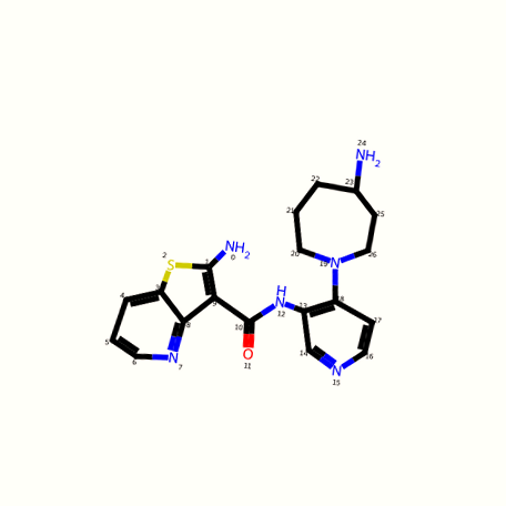 Nc1sc2cccnc2c1C(=O)Nc1cnccc1N1CCCC(N)CC1